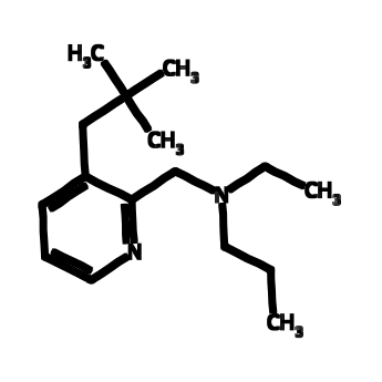 CCCN(CC)Cc1ncccc1CC(C)(C)C